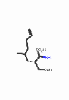 C=CCCC(C)C[C@@H](COC)C(N)C(=O)OCC